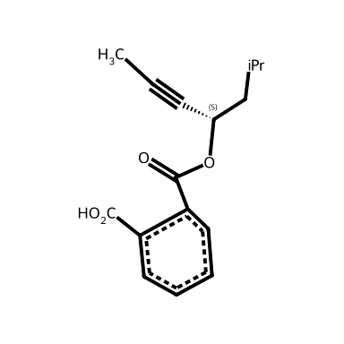 CC#C[C@H](CC(C)C)OC(=O)c1ccccc1C(=O)O